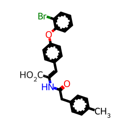 Cc1ccc(CC(=O)NC(=Cc2ccc(Oc3ccccc3Br)cc2)C(=O)O)cc1